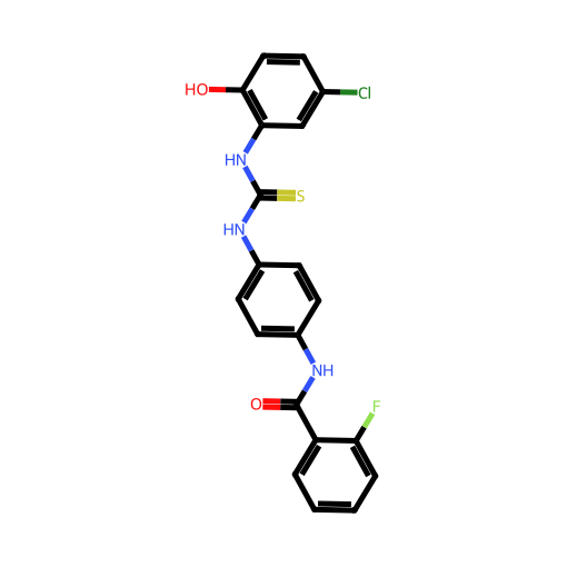 O=C(Nc1ccc(NC(=S)Nc2cc(Cl)ccc2O)cc1)c1ccccc1F